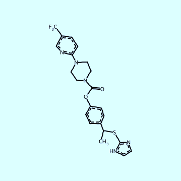 CC(Sc1ncc[nH]1)c1ccc(OC(=O)N2CCN(c3ccc(C(F)(F)F)cn3)CC2)cc1